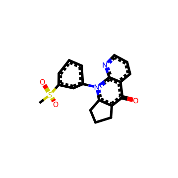 CS(=O)(=O)c1cccc(-n2c3c(c(=O)c4cccnc42)CCC3)c1